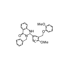 COc1ccc(C2Nc3ccccc3C(=O)N2Cc2ccccc2)cc1COc1ccccc1OC